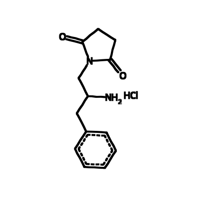 Cl.NC(Cc1ccccc1)CN1C(=O)CCC1=O